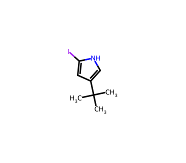 CC(C)(C)c1c[nH]c(I)c1